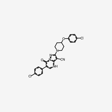 N#Cc1c(N2CCC(Oc3ccc(Cl)cc3)CC2)nn2c(=O)c(-c3ccc(Cl)cc3)c[nH]c12